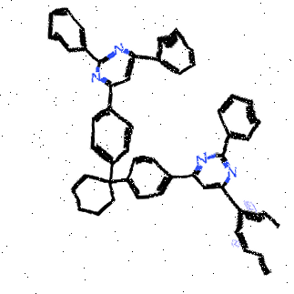 C=C/C=C\C(=C/C)c1cc(-c2ccc(C3(c4ccc(-c5cc(-c6ccccc6)nc(-c6ccccc6)n5)cc4)CCCCC3)cc2)nc(-c2ccccc2)n1